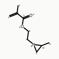 C=C(C)C(=O)OCCN1CC1C